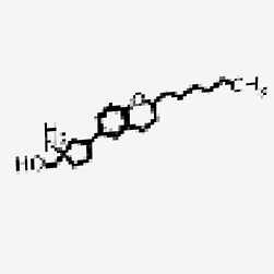 CCCCCCC1CCc2cc(C3CCC(N)(CO)C3)ccc2O1